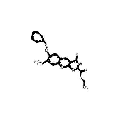 CCOC(=O)c1nc2nc3cc(OC)c(OCc4ccccc4)cc3cc2c(=O)[nH]1